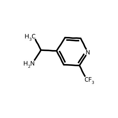 CC(N)c1ccnc(C(F)(F)F)c1